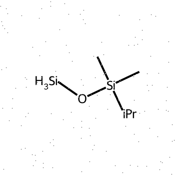 CC(C)[Si](C)(C)O[SiH3]